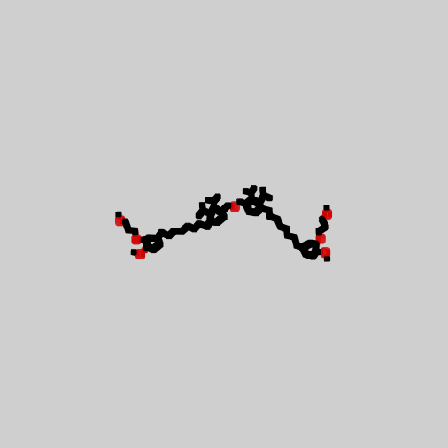 COCCCOc1cc(CCCCCCCCc2ccc(COCc3ccc(CCCCCCCCc4ccc(OC)c(OCCCOC)c4)c(C(C)C)c3C(C)C)c(C(C)C)c2C(C)C)ccc1OC